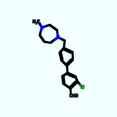 CN1CCCN(Cc2ccc(-c3ccc(C=O)c(Cl)c3)cc2)CC1